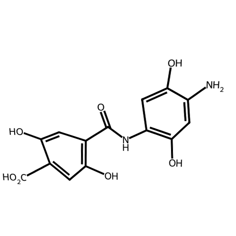 Nc1cc(O)c(NC(=O)c2cc(O)c(C(=O)O)cc2O)cc1O